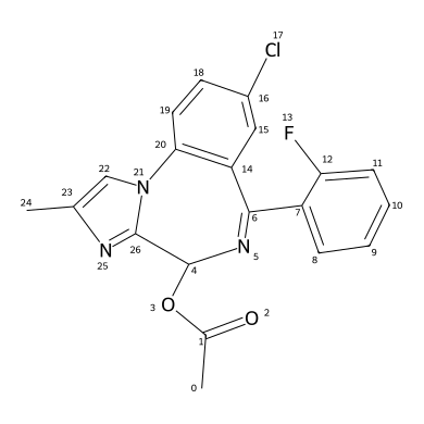 CC(=O)OC1N=C(c2ccccc2F)c2cc(Cl)ccc2-n2cc(C)nc21